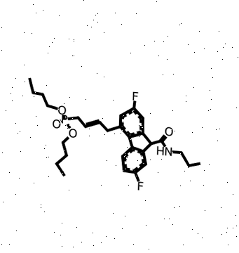 CCCCOP(=O)(CC=CCc1cc(F)cc2c1-c1ccc(F)cc1C2C(=O)NCCC)OCCCC